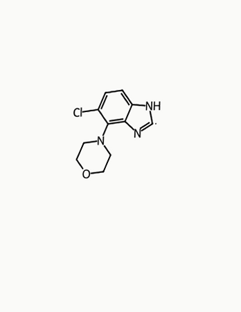 Clc1ccc2[nH][c]nc2c1N1CCOCC1